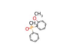 COc1ccccc1[P@@](C)(=O)c1ccccc1